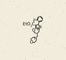 CCOC(=O)c1c(-c2ccccc2F)nn2c1OCC(CN1CCOCC1)C2